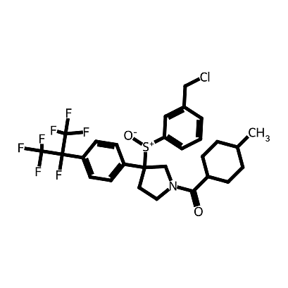 CC1CCC(C(=O)N2CCC(c3ccc(C(F)(C(F)(F)F)C(F)(F)F)cc3)([S+]([O-])c3cccc(CCl)c3)C2)CC1